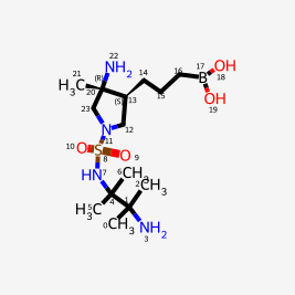 CC(C)(N)C(C)(C)NS(=O)(=O)N1C[C@H](CCCB(O)O)[C@@](C)(N)C1